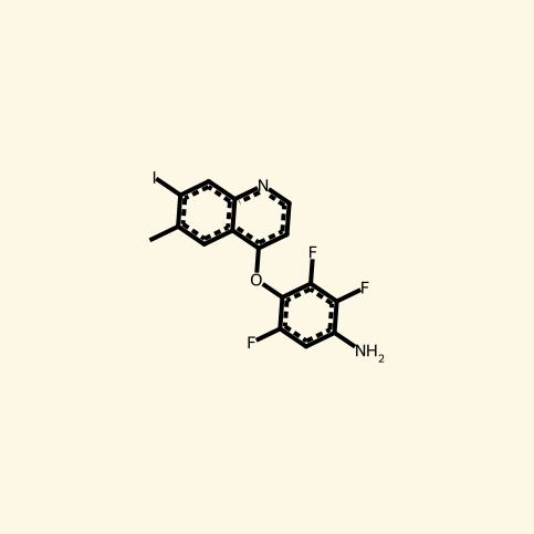 Cc1cc2c(Oc3c(F)cc(N)c(F)c3F)ccnc2cc1I